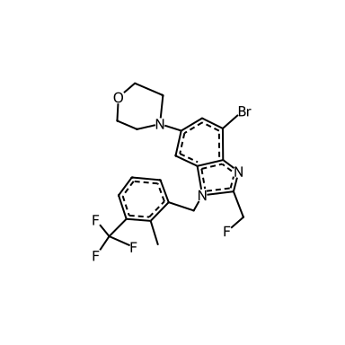 Cc1c(Cn2c(CF)nc3c(Br)cc(N4CCOCC4)cc32)cccc1C(F)(F)F